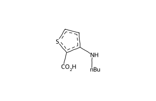 CCCCNc1ccsc1C(=O)O